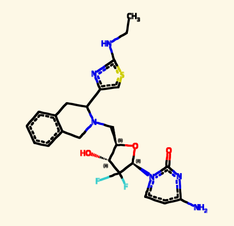 CCNc1nc(C2Cc3ccccc3CN2C[C@H]2O[C@@H](n3ccc(N)nc3=O)C(F)(F)[C@@H]2O)cs1